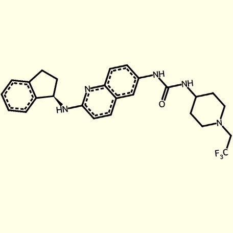 O=C(Nc1ccc2nc(N[C@@H]3CCc4ccccc43)ccc2c1)NC1CCN(CC(F)(F)F)CC1